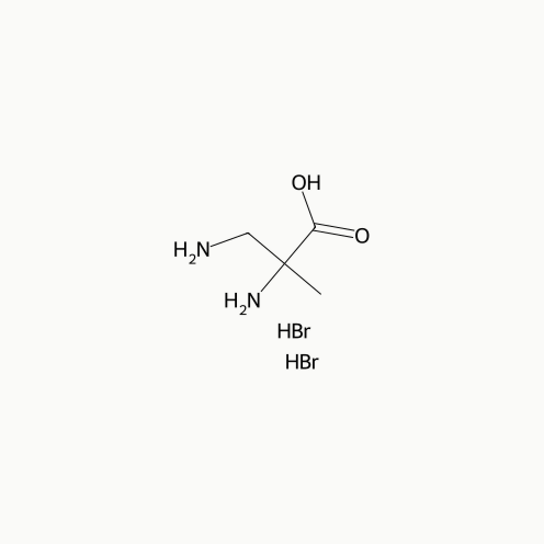 Br.Br.CC(N)(CN)C(=O)O